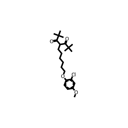 COc1ccc(OCCCCCCC(C(=O)C(C)(C)C)C(=O)C(C)(C)C)c(Cl)c1